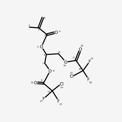 C=C(C)C(=O)OC(COC(=O)C(F)(F)Cl)COC(=O)C(F)(F)Cl